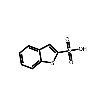 O=S(=O)(O)c1cc2ccccc2s1